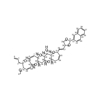 C=CC[C@H]1O[C@H]2C=C[C@H]3O[C@H]4[C@H](O)[C@H]5O[C@@H](/C=C/C6COC(c7ccc8ccccc8c7)O6)C=CC[C@@H]5O[C@@H]4C[C@@H]3O[C@@H]2C=C[C@@H]1OC